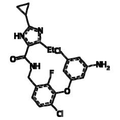 CCc1nc(C2CC2)[nH]c1C(=O)NCc1ccc(Cl)c(Oc2cc(N)cc(Cl)c2)c1F